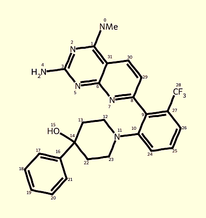 CNc1nc(N)nc2nc(-c3c(N4CCC(O)(c5ccccc5)CC4)cccc3C(F)(F)F)ccc12